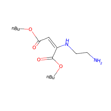 CCCCOC(=O)/C=C(/NCCN)C(=O)OCCCC